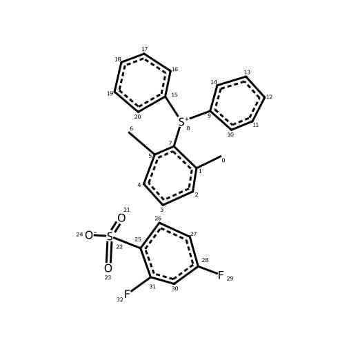 Cc1cccc(C)c1[S+](c1ccccc1)c1ccccc1.O=S(=O)([O-])c1ccc(F)cc1F